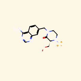 COC[C@H]1C(=O)N(Cc2ccc3c(N)ncnc3c2)CCN1S(=O)(=O)O